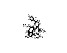 Cc1cc(Nc2nc(-c3ccc(F)cc3)ncc2C(C)C)c2c(N3CCNCC3)c[nH]c2c1